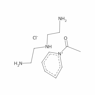 CC(=O)[n+]1ccccc1.NCCNCCN.[Cl-]